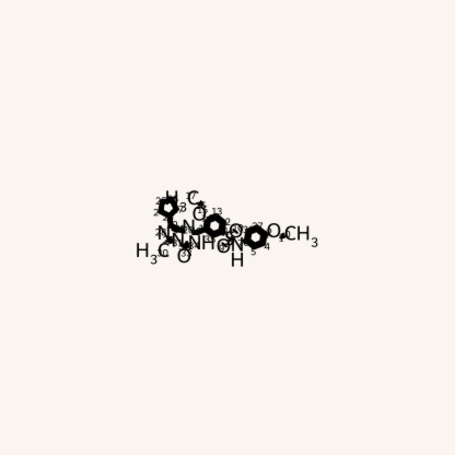 CCOc1ccc(NS(=O)(=O)c2ccc(OCC)c(-c3nc4c(C5CCCC5)nc(C)n4c(=O)[nH]3)c2)cc1